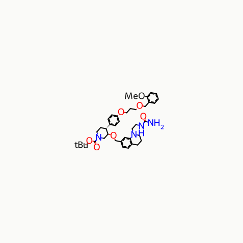 COc1ccccc1COCCCOc1ccc([C@H]2CCN(C(=O)OC(C)(C)C)C[C@@H]2OCc2ccc3c(c2)N(CCNC(N)=O)CCC3)cc1